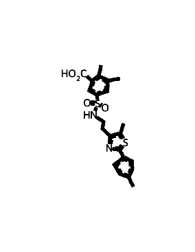 Cc1ccc(-c2nc(CCNS(=O)(=O)c3cc(C)c(C)c(C(=O)O)c3)c(C)s2)cc1